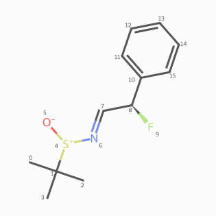 CC(C)(C)[S+]([O-])/N=C/[C@H](F)c1ccccc1